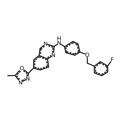 Cc1nnc(-c2ccc3nc(Nc4ccc(OCc5cccc(F)c5)cc4)ncc3c2)o1